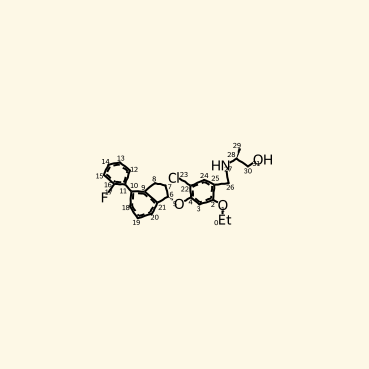 CCOc1cc(O[C@H]2CCc3c(-c4ccccc4F)cccc32)c(Cl)cc1CN[C@@H](C)CO